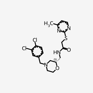 Cc1ccnc(SCC(=O)NC[C@H]2CN(Cc3ccc(Cl)c(Cl)c3)CCO2)n1